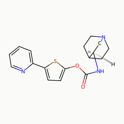 O=C(N[C@@H]1CN2CCC1CC2)Oc1ccc(-c2ccccn2)s1